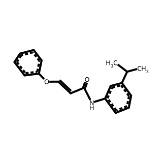 CC(C)c1cccc(NC(=O)C=COc2ccccc2)c1